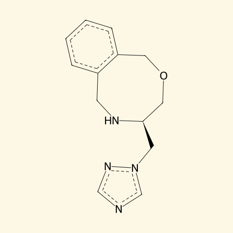 c1ccc2c(c1)CN[C@H](Cn1cncn1)COC2